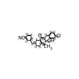 CN1C2=C(CN(Cc3cccc(C#N)c3)CC2)C(=O)N(Cc2ccc(Cl)cc2)C1O